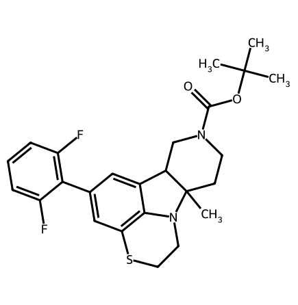 CC(C)(C)OC(=O)N1CCC2(C)C(C1)c1cc(-c3c(F)cccc3F)cc3c1N2CCS3